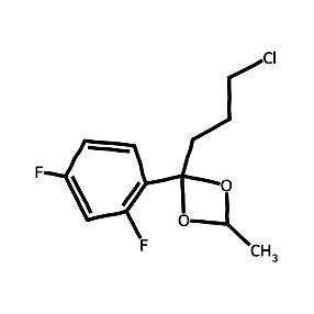 CC1OC(CCCCl)(c2ccc(F)cc2F)O1